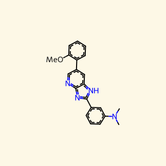 COc1ccccc1-c1cnc2nc(-c3cccc(N(C)C)c3)[nH]c2c1